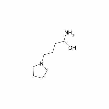 NC(O)CCCN1CCCC1